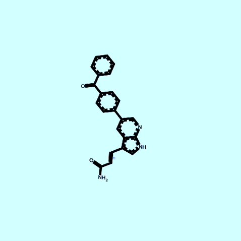 NC(=O)/C=C/c1c[nH]c2ncc(-c3ccc(C(=O)c4ccccc4)cc3)cc12